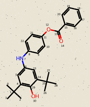 CC(C)(C)c1cc(Nc2ccc(OC(=O)c3ccccc3)cc2)cc(C(C)(C)C)c1O